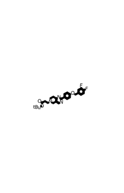 CC(C)(C)OC(=O)CCN1CCc2nc(-c3ccc(OCc4ccc(F)c(F)c4)cc3)ncc2C1